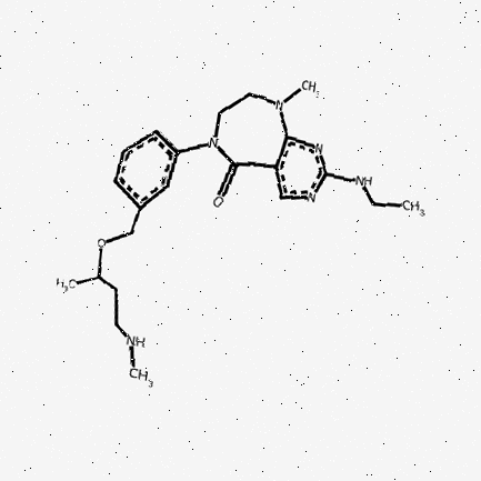 CCNc1ncc2c(n1)N(C)CCN(c1cccc(COC(C)CCNC)c1)C2=O